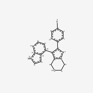 Fc1ccc(-c2nn3c(c2-c2ccnc4[nH]ccc24)COCC3)nc1